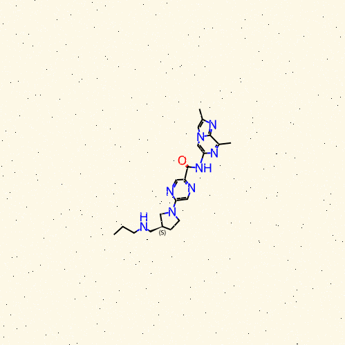 CCCNC[C@@H]1CCN(c2cnc(C(=O)Nc3cn4cc(C)nc4c(C)n3)cn2)C1